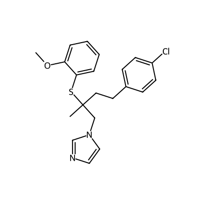 COc1ccccc1SC(C)(CCc1ccc(Cl)cc1)Cn1ccnc1